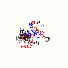 COc1cc(C(=O)NC(C(=O)NC(Cc2c(C(C)(C)C)ccc(C(=O)O)c2OC)B2OC3C[C@H]4C[C@@H](C4(C)C)[C@]3(C)O2)c2csc(NC(=O)OCc3ccccc3)n2)ccn1